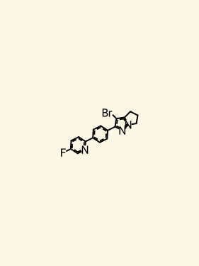 Fc1ccc(-c2ccc(-c3nn4c(c3Br)CCC4)cc2)nc1